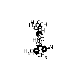 Cc1cc(-c2sc(NC(=O)N3C[C@H]4CCC3CN4C(=O)OC(C)(C)C)nc2-c2cccc(C#N)c2)cc(C)n1